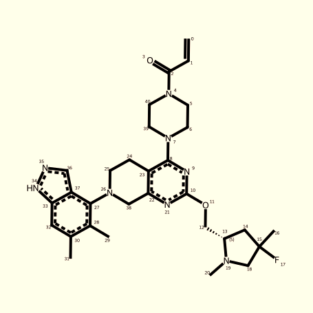 C=CC(=O)N1CCN(c2nc(OC[C@@H]3CC(C)(F)CN3C)nc3c2CCN(c2c(C)c(C)cc4[nH]ncc24)C3)CC1